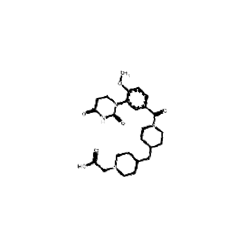 COc1ccc(C(=O)N2CCC(CC3CCN(CC(=O)O)CC3)CC2)cc1N1CCC(=O)NC1=O